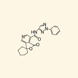 O=C(Nc1cnn(-c2ccccc2)n1)c1cncc2c1C(=O)OC21CCCCC1